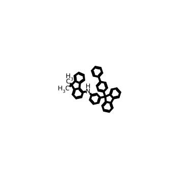 CC1(C)c2ccccc2-c2c(Nc3cccc(C4(c5ccc(-c6ccccc6)cc5)c5ccccc5-c5ccccc54)c3)cccc21